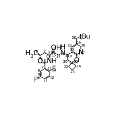 C=CC[C@H](NC(=O)c1cc(F)ccc1F)[C@H](O)CN[C@H]1CC2(CCC2)Oc2ncc(CC(C)(C)C)cc21